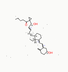 C=C1CC[C@H](O)C/C1=C/C=C1\CCC[C@]2(C)[C@@H]([C@H](C)/C=C/[C@@H](O)C3(C(=O)CCCC)CC3)CC[C@@H]12